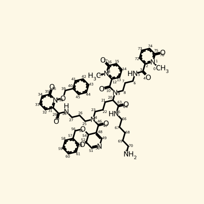 Cn1c(C(=O)NCCCN(C(=O)c2cccc(=O)n2C)C(CCCN(CCCNC(=O)c2cccc(=O)n2OCc2ccccc2)C(=O)C2=CN=CC(=O)C2OCc2ccccc2)C(=O)NCCCCCN)cccc1=O